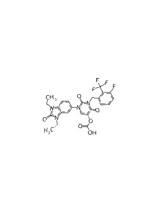 CCn1c(=O)n(CC)c2cc(-n3cc(OC(=O)O)c(=O)n(Cc4cccc(F)c4C(F)(F)F)c3=O)ccc21